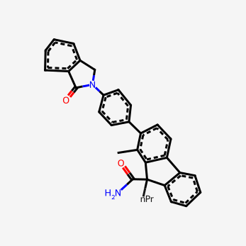 CCCC1(C(N)=O)c2ccccc2-c2ccc(-c3ccc(N4Cc5ccccc5C4=O)cc3)c(C)c21